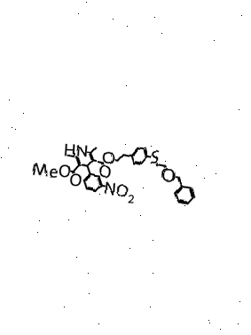 COC(=O)C1=C(C)NC(C)=C(C(=O)OCCc2ccc(SCCOCc3ccccc3)cc2)C1c1cccc([N+](=O)[O-])c1